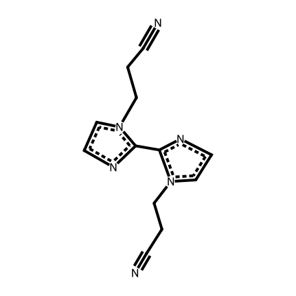 N#CCCn1ccnc1-c1nccn1CCC#N